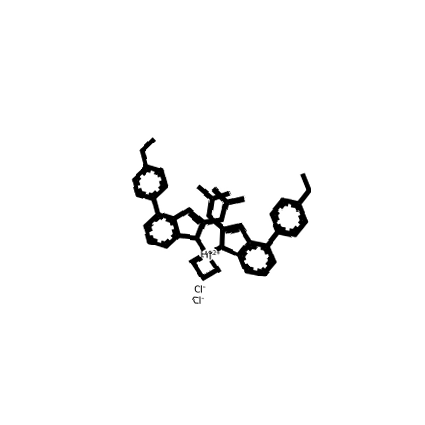 CCc1ccc(-c2cccc3c2C=C(CC(C)C)[CH]3[Hf+2]2([CH]3C(CC(C)C)=Cc4c(-c5ccc(CC)cc5)cccc43)[CH2]C[CH2]2)cc1.[Cl-].[Cl-]